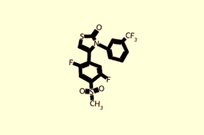 CS(=O)(=O)c1cc(F)c(-c2csc(=O)n2-c2cccc(C(F)(F)F)c2)cc1F